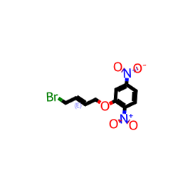 O=[N+]([O-])c1ccc([N+](=O)[O-])c(OC/C=C/CBr)c1